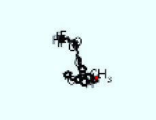 C[C@@]12[CH]CC[C@H]1[C@@H]1CCc3cc(OC4CCCC4)ccc3[C@H]1[C@@H](c1ccc(OCCCCCS(=O)(=O)CCCC(F)(F)C(F)(F)F)cc1)C2